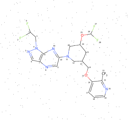 FC(F)Cn1ncc2ncc(N3CC(COc4cccnc4C(F)(F)F)CC(OC(F)F)C3)nc21